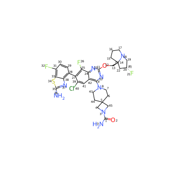 NC(=O)N1CC2(CCN(c3nc(OC[C@@]45CCCN4C[C@H](F)C5)nc4c(F)c(-c5ccc(F)c6sc(N)nc56)c(Cl)cc34)CC2)C1